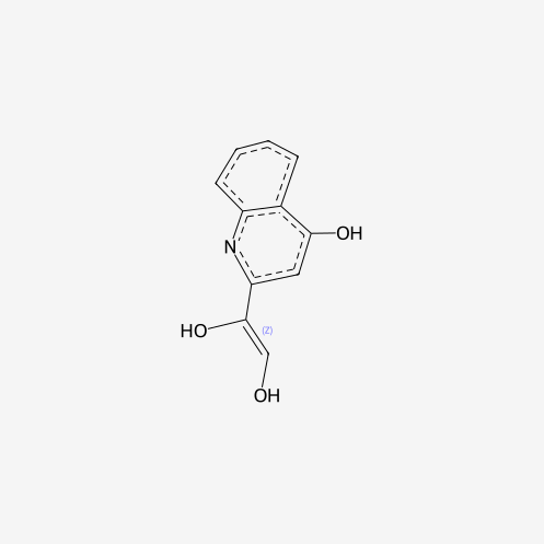 O/C=C(\O)c1cc(O)c2ccccc2n1